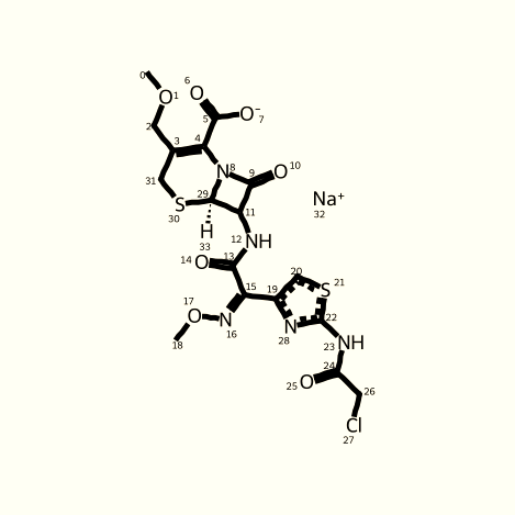 COCC1=C(C(=O)[O-])N2C(=O)C(NC(=O)/C(=N\OC)c3csc(NC(=O)CCl)n3)[C@H]2SC1.[Na+]